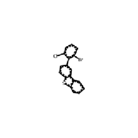 Clc1cccc(Br)c1-c1ccc2sc3ccccc3c2c1